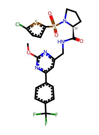 COc1nc(CNC(=O)[C@@H]2CCCN2S(=O)(=O)c2ccc(Cl)s2)cc(-c2ccc(C(F)(F)F)cc2)n1